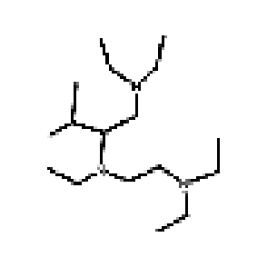 CCN(CC)CCN(CC)C(CN(CC)CC)C(C)C